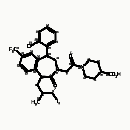 CC(CI)CC1C(=O)N(CC(=O)N2CCC(C(=O)O)CC2)CC(c2ccccc2Cl)c2cc(C(F)(F)F)ccc21